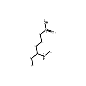 CCC(CCCS(=O)O)NC